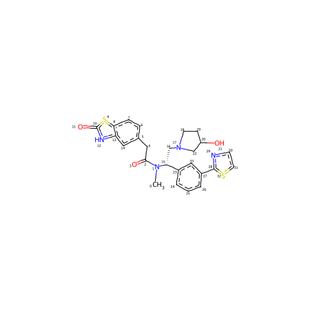 CN(C(=O)Cc1ccc2sc(=O)[nH]c2c1)[C@H](CN1CCC(O)C1)c1cccc(-c2nccs2)c1